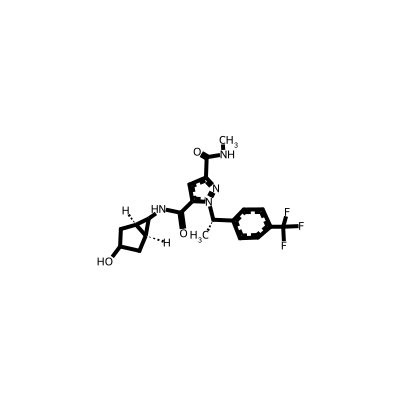 CNC(=O)c1cc(C(=O)NC2[C@H]3CC(O)C[C@@H]23)n([C@@H](C)c2ccc(C(F)(F)F)cc2)n1